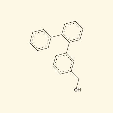 OCc1cccc(-c2ccccc2-c2ccccc2)c1